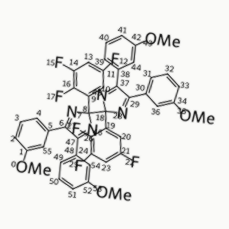 COc1cccc(C2=NC(c3cc(F)cc(F)c3F)(C3(c4cc(F)cc(F)c4F)N=C(c4cccc(OC)c4)C(c4cccc(OC)c4)=N3)N=C2c2cccc(OC)c2)c1